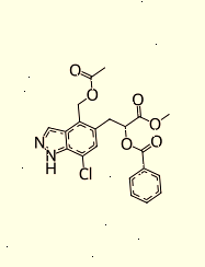 COC(=O)C(Cc1cc(Cl)c2[nH]ncc2c1COC(C)=O)OC(=O)c1ccccc1